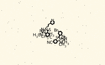 CN(C)C(c1ccc(C#N)cc1)n1c(=S)c2cc(Br)ccc2n2cnnc12.Cc1ccc2c(c1)c(=S)n(CC=Cc1cccnc1)c1nnc(N(C)C)n21